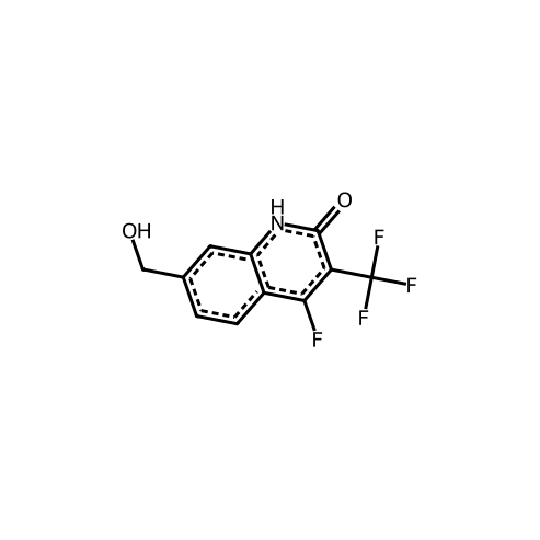 O=c1[nH]c2cc(CO)ccc2c(F)c1C(F)(F)F